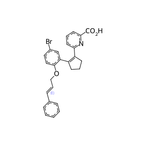 O=C(O)c1cccc(C2=C(c3cc(Br)ccc3OC/C=C/c3ccccc3)CCC2)n1